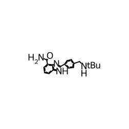 CC(C)(C)NCc1ccc(-c2nc3c(C(N)=O)cccc3[nH]2)cc1